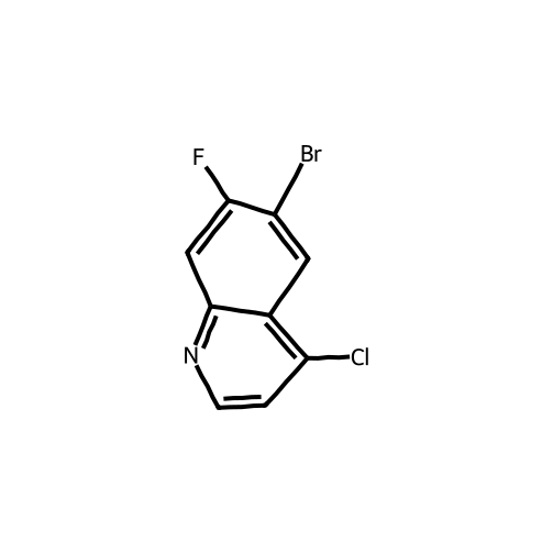 Fc1cc2nccc(Cl)c2cc1Br